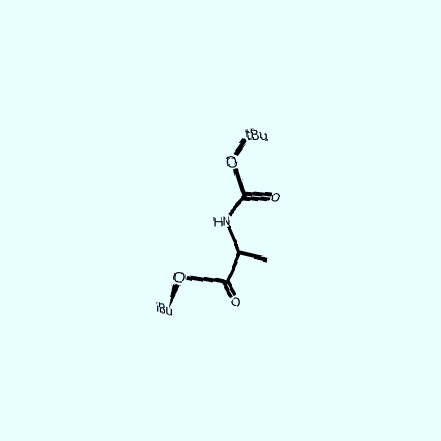 CC[C@H](C)OC(=O)C(C)NC(=O)OC(C)(C)C